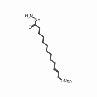 CCCCCCCCCCC=CCCCCCCCCCC(=O)NN